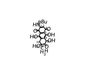 CCCCNC1=CC(=O)c2c(O)c3c(c(O)c2C1=O)CC(C)(O)C(O)C3O